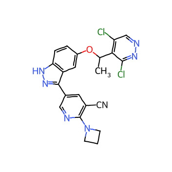 CC(Oc1ccc2[nH]nc(-c3cnc(N4CCC4)c(C#N)c3)c2c1)c1c(Cl)cnnc1Cl